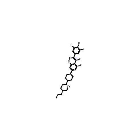 CCCC1CCC(C2CCC(c3cc(F)c(/C(F)=C(\F)c4cc(F)c(F)c(F)c4)c(F)c3)CC2)OC1